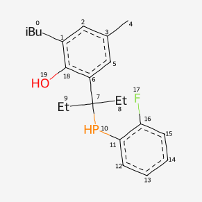 CCC(C)c1cc(C)cc(C(CC)(CC)Pc2ccccc2F)c1O